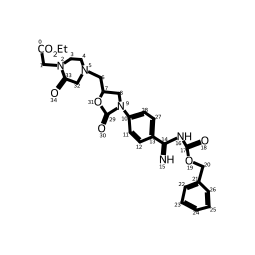 CCOC(=O)CN1CCN(CC2CN(c3ccc(C(=N)NC(=O)OCc4ccccc4)cc3)C(=O)O2)CC1=O